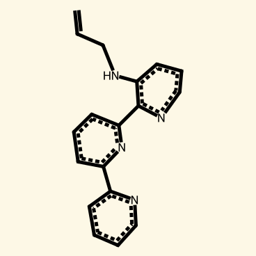 C=CCNc1cccnc1-c1cccc(-c2ccccn2)n1